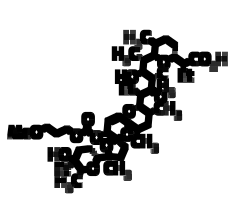 CC[C@@H](C(=O)[C@@H](C)[C@@H](O)[C@H](C)[C@@H]1O[C@@H]([C@@H](CC)C(=O)O)CCC1C)[C@H]1O[C@]2(C=C[C@@H](OC(=O)OCCCOC)[C@]3(CC[C@@](C)([C@H]4CC[C@](O)(CC)[C@H](C)O4)O3)O2)[C@H](C)C[C@@H]1C